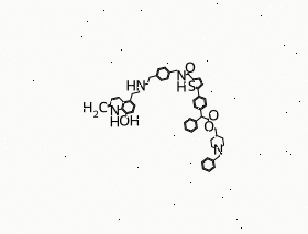 C=C1C=Cc2c(CCNCCc3ccc(CNC(=O)c4ccc(-c5ccc(C(C(=O)OCC6CCN(Cc7ccccc7)CC6)c6ccccc6)cc5)s4)cc3)ccc(O)c2N1